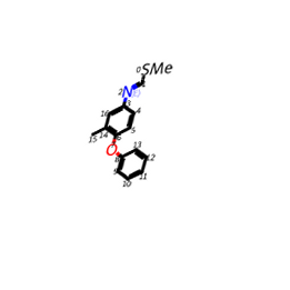 CS/C=N/c1ccc(Oc2ccccc2)c(C)c1